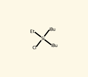 CCC(C)[Si](Cl)(CC)C(C)CC